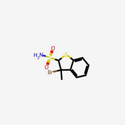 CC1(Br)c2ccccc2SC1S(N)(=O)=O